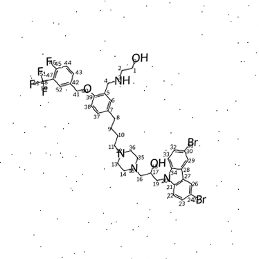 OCCNCc1cc(CCCCN2CCN(CC(O)Cn3c4ccc(Br)cc4c4cc(Br)ccc43)CC2)ccc1OCc1ccc(F)c(C(F)(F)F)c1